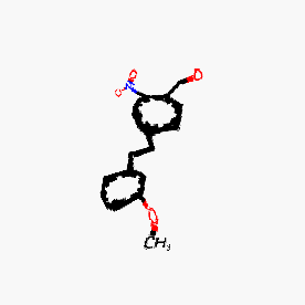 COc1cccc(/C=C/c2ccc(C=O)c([N+](=O)[O-])c2)c1